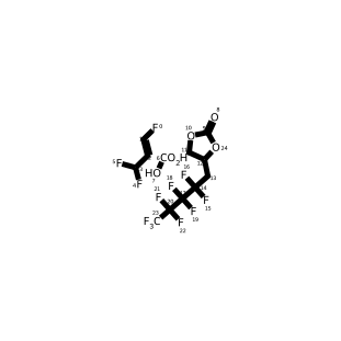 FC=CC(F)F.O=C(O)O.O=C1OCC(CC(F)(F)C(F)(F)C(F)(F)C(F)(F)F)O1